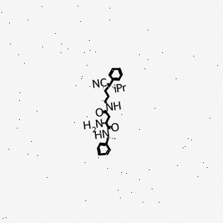 CC(C)[C@@](C#N)(CCCNC(=O)C[C@H](N)C(=O)N[C@H](C)c1ccccc1)c1ccccc1